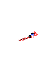 COCCOCCOCCOc1ccc(-n2ccc(C(=O)O)n2)c(O)c1